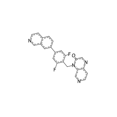 O=c1cnc2ccncc2n1Cc1c(F)cc(-c2ccc3ccncc3c2)cc1F